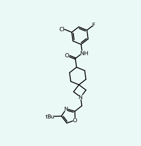 CC(C)(C)c1coc(CN2CC3(CCC(C(=O)Nc4cc(F)cc(Cl)c4)CC3)C2)n1